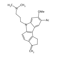 C=C1CCc2c1ccc1c2c2cc(C(C)=O)c(OC)cc2n1CCCN(C)C